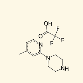 Cc1ccnc(N2CCNCC2)c1.O=C(O)C(F)(F)F